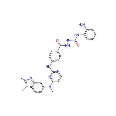 Cc1c2ccc(N(C)c3ccnc(Nc4ccc(C(=O)NNC(=O)Nc5ccccc5N)cc4)n3)cc2nn1C